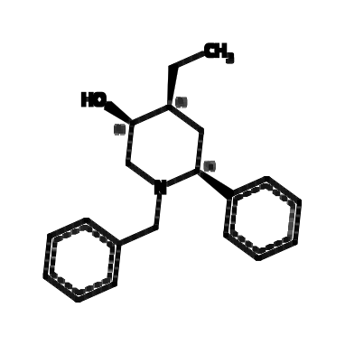 CC[C@H]1C[C@@H](c2ccccc2)N(Cc2ccccc2)C[C@H]1O